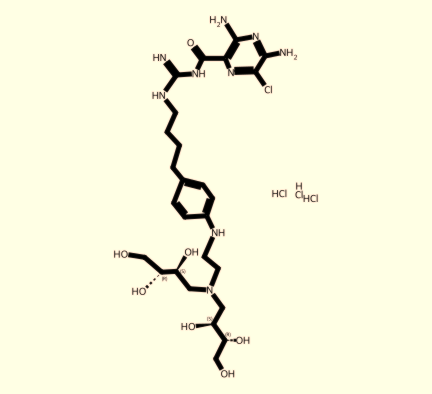 Cl.Cl.Cl.N=C(NCCCCc1ccc(NCCN(C[C@H](O)[C@H](O)CO)C[C@H](O)[C@H](O)CO)cc1)NC(=O)c1nc(Cl)c(N)nc1N